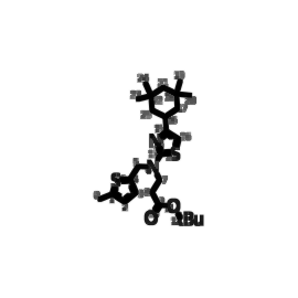 Cc1ccc(CN(CCC(=O)OC(C)(C)C)c2nc(C3CC(C)(C)CC(C)(C)C3)cs2)s1